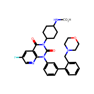 O=C(O)NC1CCC(n2c(=O)c3cc(F)cnc3n(-c3cccc(-c4ccccc4CN4CCOCC4)c3)c2=O)CC1